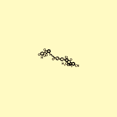 CCc1cc2c(cc1N1CCC(N3CCN(C(=O)CCCSc4cccc5c4C(=O)N(C4CCC(=O)NC4=O)C5=O)CC3)CC1)C(C)(C)c1[nH]c3cc(C#N)ccc3c1C2=O